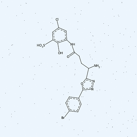 NC(CCC(=O)Nc1cc(Cl)cc(S(=O)(=O)O)c1O)c1nnc(-c2ccc(Br)cc2)o1